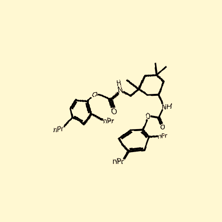 CCCc1ccc(OC(=O)NCC2(C)CC(NC(=O)Oc3ccc(CCC)cc3CCC)CC(C)(C)C2)c(CCC)c1